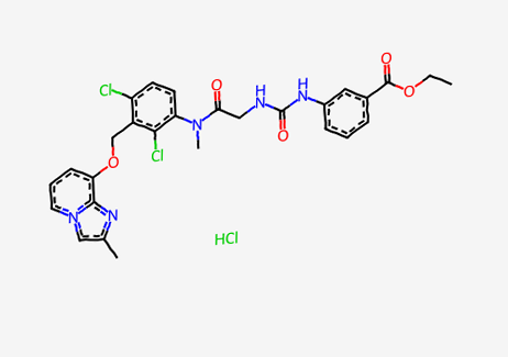 CCOC(=O)c1cccc(NC(=O)NCC(=O)N(C)c2ccc(Cl)c(COc3cccn4cc(C)nc34)c2Cl)c1.Cl